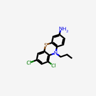 CCCN1c2ccc(N)cc2Sc2cc(Cl)cc(Cl)c21